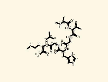 CN[C@@H](C)C(=O)N[C@H](C(=O)NCC(=O)N[C@@H](Cc1cnc[nH]1)C(=O)N[C@@H](CC(C)C)C(=O)N[C@@H](CCSC)C(N)=O)C(C)C